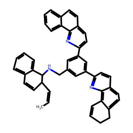 C/C=C\C1C=Cc2ccccc2C1NCc1cc(-c2ccc3ccc4c(c3n2)C=CCC4)cc(-c2ccc3ccc4ccccc4c3n2)c1